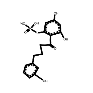 O=C(CCCc1cccc(O)c1)c1c(O)cc(O)cc1SP(=O)(O)O